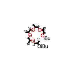 CCC(C)OCC(C)OCC(C)OCC(C)OCC(C)OCC(C)OCC(C)C